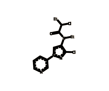 CCC(Cl)C(=O)N(CC)c1cn(-c2cccnc2)nc1Cl